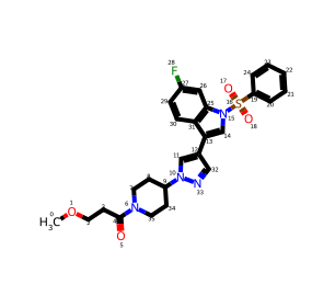 COCCC(=O)N1CCC(n2cc(-c3cn(S(=O)(=O)c4ccccc4)c4cc(F)ccc34)cn2)CC1